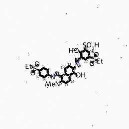 CCS(=O)(=O)c1ccc(/N=N/c2c(NC)ccc3c(O)c(/N=N/c4cc(S(=O)(=O)CC)cc(S(=O)(=O)O)c4O)ccc23)cc1